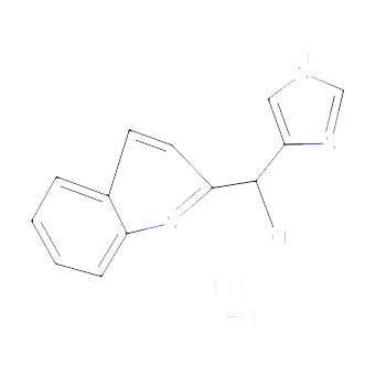 CC(c1c[nH]cn1)c1ccc2ccccc2n1.Cl.Cl